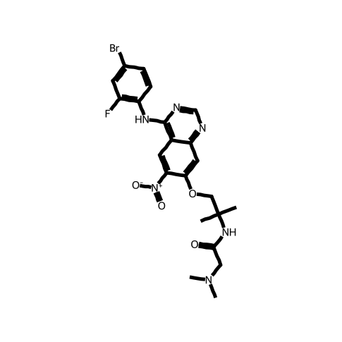 CN(C)CC(=O)NC(C)(C)COc1cc2ncnc(Nc3ccc(Br)cc3F)c2cc1[N+](=O)[O-]